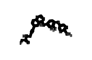 Cc1ncc(Oc2ccc(Nc3ncnc4ccc(C#CCNC(=O)CF)cc34)cc2C)cn1